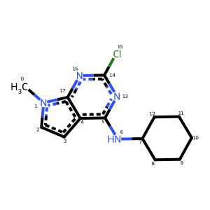 Cn1ccc2c(NC3CCCCC3)nc(Cl)nc21